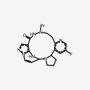 CC(C)N1CCc2ncc(F)cc2C2CCCN2C2C=Cn3ncc(c3N2)C(=O)N1